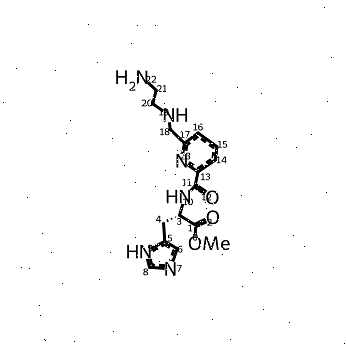 COC(=O)[C@H](Cc1cnc[nH]1)NC(=O)c1cccc(CNCCN)n1